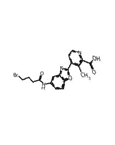 Cc1c(-c2nc3cc(NC(=O)CCCBr)ccc3o2)ccnc1C(=O)O